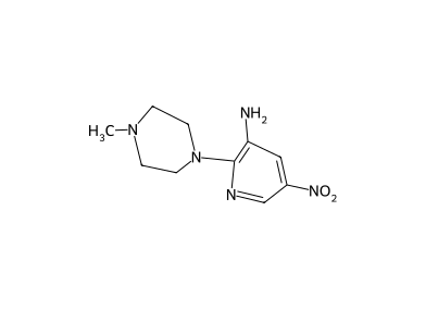 CN1CCN(c2ncc([N+](=O)[O-])cc2N)CC1